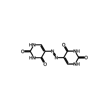 O=c1[nH]cc(N=Nc2c[nH]c(=O)[nH]c2=O)c(=O)[nH]1